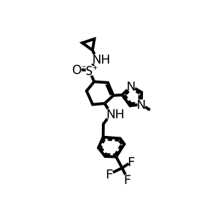 Cn1cnc(C2=CC([S+]([O-])NC3CC3)CCC2NCc2ccc(C(F)(F)F)cc2)c1